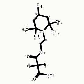 CCC(CC)(C(=O)OC)C(=O)OCCN1C(C)(C)CC(O)CC1(C)C